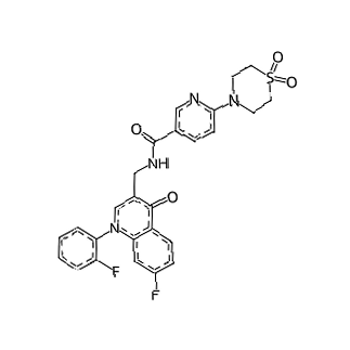 O=C(NCc1cn(-c2ccccc2F)c2cc(F)ccc2c1=O)c1ccc(N2CCS(=O)(=O)CC2)nc1